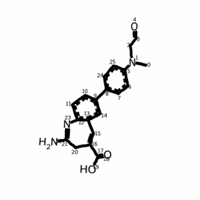 CN(CC=O)c1ccc(-c2ccc3c(c2)C=C(C(=O)O)CC(N)=N3)cc1